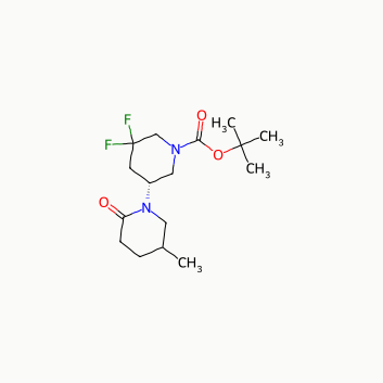 CC1CCC(=O)N([C@H]2CN(C(=O)OC(C)(C)C)CC(F)(F)C2)C1